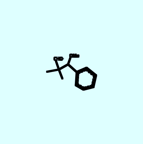 COC(c1ccccc1)C(C)(C)[C]=O